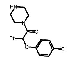 CCC(Oc1ccc(Cl)cc1)C(=O)N1CCNCC1